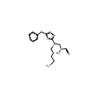 CCCCC[C@H](CN(O)C=O)c1nnc(Cc2ccccc2)o1